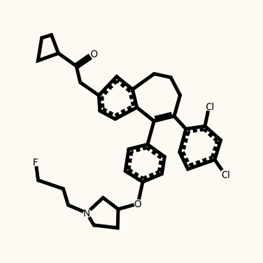 O=C(Cc1ccc2c(c1)CCCC(c1ccc(Cl)cc1Cl)=C2c1ccc(OC2CCN(CCCF)C2)cc1)C1CCC1